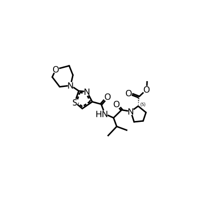 COC(=O)[C@@H]1CCCN1C(=O)C(NC(=O)c1csc(N2CCOCC2)n1)C(C)C